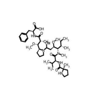 CC[C@H](C)[C@@H]([C@@H](CC(O)N1CCC[C@H]1[C@H](OC)[C@@H](C)C(=O)N[C@@H](Cc1ccccc1)C(=O)O)OC)N(C)C(=O)[C@@H](NC(=O)[C@]1(C)CCCN1)C(C)C